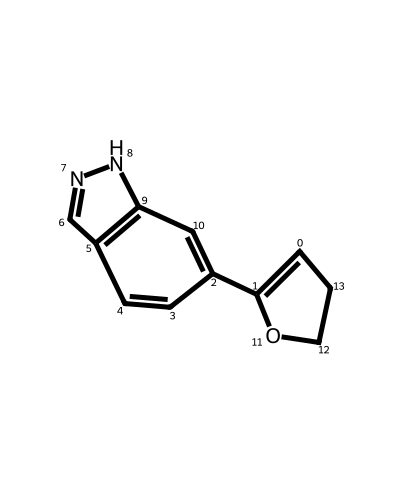 C1=C(c2ccc3cn[nH]c3c2)OCC1